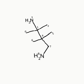 CC(C)(N)C(C)(C)CN